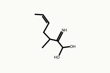 C/C=C\CC(C)C(=N)C(O)O